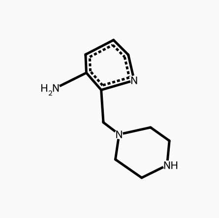 Nc1cccnc1CN1CCNCC1